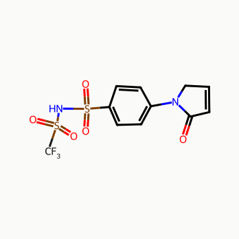 O=C1C=CCN1c1ccc(S(=O)(=O)NS(=O)(=O)C(F)(F)F)cc1